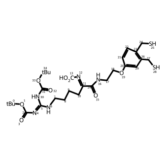 CC(C)(C)OC(=O)N=C(NCCCCC(=NC(=O)O)C(=O)NCCOc1ccc(CS)c(CS)c1)NC(=O)OC(C)(C)C